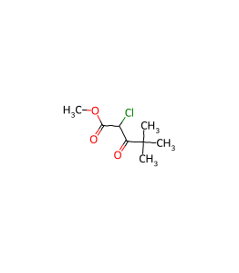 COC(=O)C(Cl)C(=O)C(C)(C)C